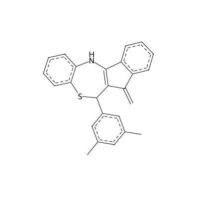 C=C1C2=C(Nc3ccccc3SC2c2cc(C)cc(C)c2)c2ccccc21